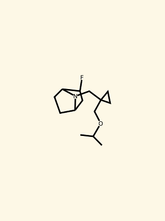 CC(C)OCC1(CN2C3CCC2C(F)C3)CC1